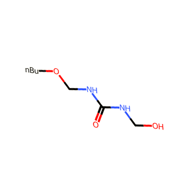 CCCCOCNC(=O)NCO